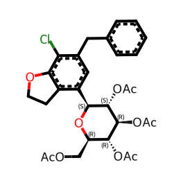 CC(=O)OC[C@H]1O[C@@H](c2cc(Cc3ccccc3)c(Cl)c3c2CCO3)[C@H](OC(C)=O)[C@@H](OC(C)=O)[C@@H]1OC(C)=O